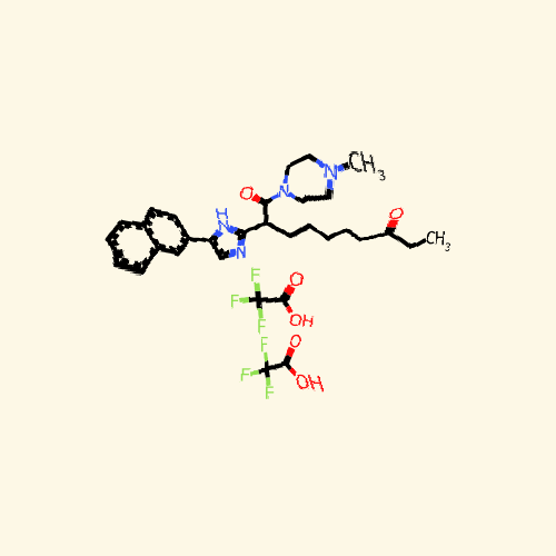 CCC(=O)CCCCCC(C(=O)N1CCN(C)CC1)c1ncc(-c2ccc3ccccc3c2)[nH]1.O=C(O)C(F)(F)F.O=C(O)C(F)(F)F